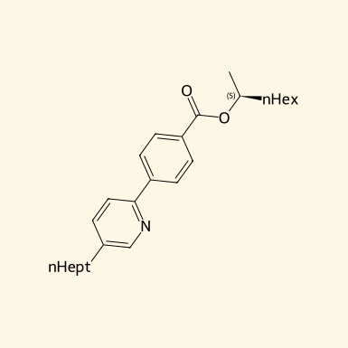 CCCCCCCc1ccc(-c2ccc(C(=O)O[C@@H](C)CCCCCC)cc2)nc1